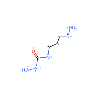 NNCCCNC(=O)NN